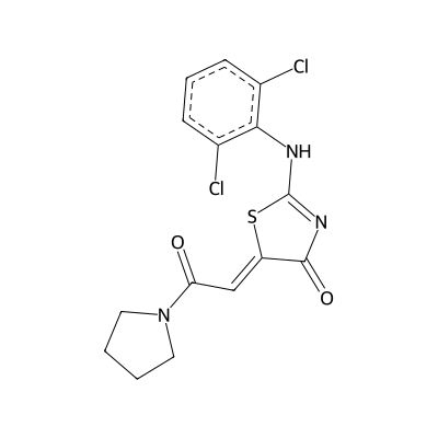 O=C1N=C(Nc2c(Cl)cccc2Cl)SC1=CC(=O)N1CCCC1